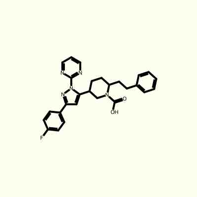 O=C(O)N1CC(c2cc(-c3ccc(F)cc3)nn2-c2ncccn2)CCC1CCc1ccccc1